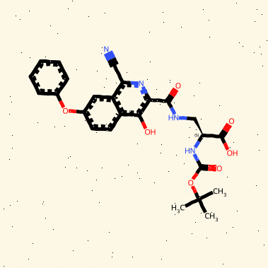 CC(C)(C)OC(=O)N[C@@H](CNC(=O)c1nc(C#N)c2cc(Oc3ccccc3)ccc2c1O)C(=O)O